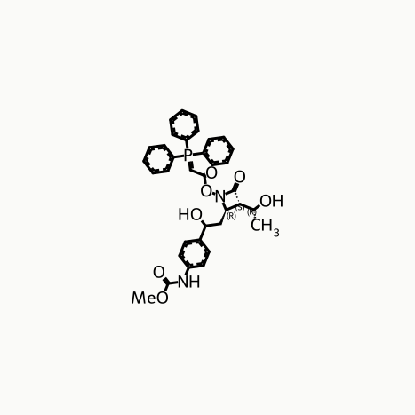 COC(=O)Nc1ccc(C(O)C[C@@H]2[C@@H]([C@@H](C)O)C(=O)N2OC(=O)C=P(c2ccccc2)(c2ccccc2)c2ccccc2)cc1